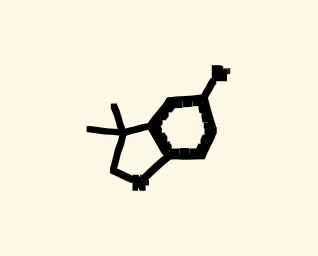 CC1(C)C[N]c2ccc(Br)cc21